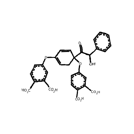 O=C(O)c1ccc(OC2=CCC(Oc3ccc(C(=O)O)c(C(=O)O)c3)(C(=O)C(O)c3ccccc3)C=C2)cc1C(=O)O